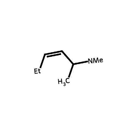 CC/C=C\C(C)NC